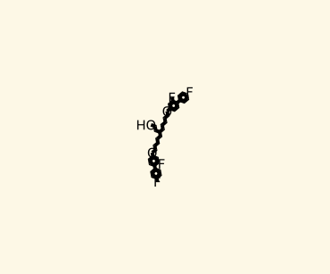 OCCC(CCCCCOc1ccc(-c2ccc(F)cc2)c(F)c1)CCCCCOc1ccc(-c2ccc(F)cc2)c(F)c1